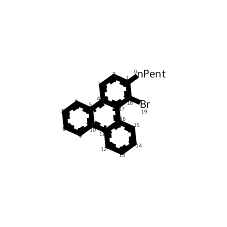 [CH2]CCCCc1ccc2c3ccccc3c3ccccc3c2c1Br